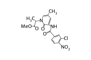 COC(=O)C(C)n1cc(C)cc(NC(=O)c2ccc([N+](=O)[O-])c(Cl)c2)c1=O